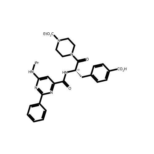 CCOC(=O)N1CCN(C(=O)[C@H](Cc2ccc(C(=O)O)cc2)NC(=O)c2cc(NC(C)C)nc(-c3ccccc3)n2)CC1